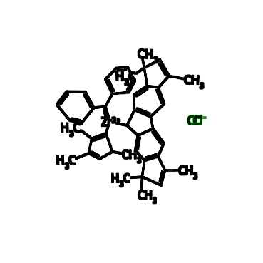 CC1=CC(C)[C]([Zr+2](=[C](c2ccccc2)c2ccccc2)[CH]2c3cc4c(cc3-c3cc5c(cc32)C(C)(C)C=C5C)C(C)=CC4(C)C)=C1C.[Cl-].[Cl-]